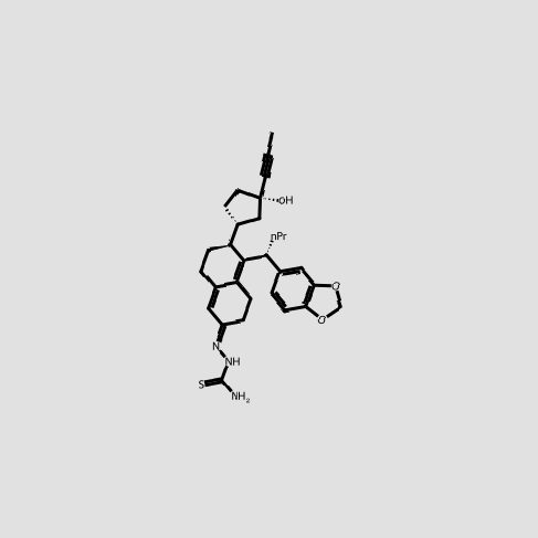 CC#C[C@]1(O)CC[C@@H]([C@@H]2CCC3=C/C(=N/NC(N)=S)CCC3=C2[C@H](CCC)c2ccc3c(c2)OCO3)C1